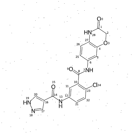 O=C1COc2cc(NC(=O)c3cc(NC(=O)c4cn[nH]c4)ccc3Cl)ccc2N1